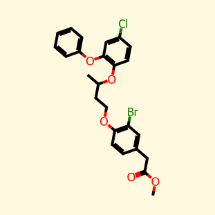 COC(=O)Cc1ccc(OCCC(C)Oc2ccc(Cl)cc2Oc2ccccc2)c(Br)c1